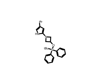 CC(C)c1c[nH]c(N2CC(O[Si](c3ccccc3)(c3ccccc3)C(C)(C)C)C2)c1